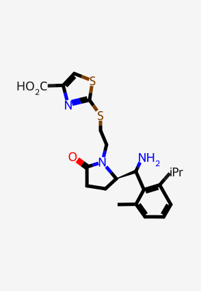 Cc1cccc(C(C)C)c1C(N)[C@H]1CCC(=O)N1CCSc1nc(C(=O)O)cs1